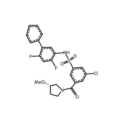 CO[C@H]1CCN(C(=O)c2cc(Cl)cc(S(=O)(=O)Nc3cc(-c4ccccc4)c(F)cc3F)c2)C1